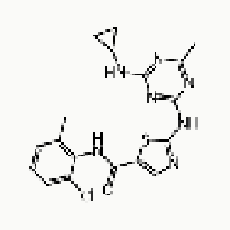 Cc1nc(Nc2ncc(C(=O)Nc3c(C)cccc3Cl)s2)nc(NC2CC2)n1